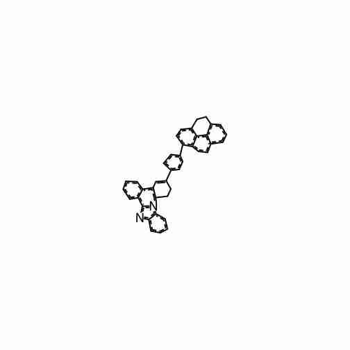 C1=C(c2ccc(-c3ccc4c5c3ccc3cccc(c35)CC4)cc2)CCc2c1c1ccccc1c1nc3ccccc3n21